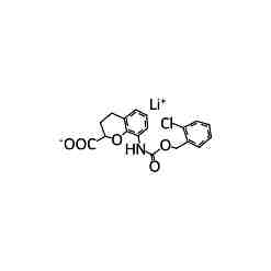 O=C(Nc1cccc2c1OC(C(=O)[O-])CC2)OCc1ccccc1Cl.[Li+]